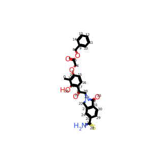 Cc1c(OCC(=O)OCc2ccccc2)ccc(C(=O)CN2Cc3cc(C(N)=S)ccc3C2=O)c1O